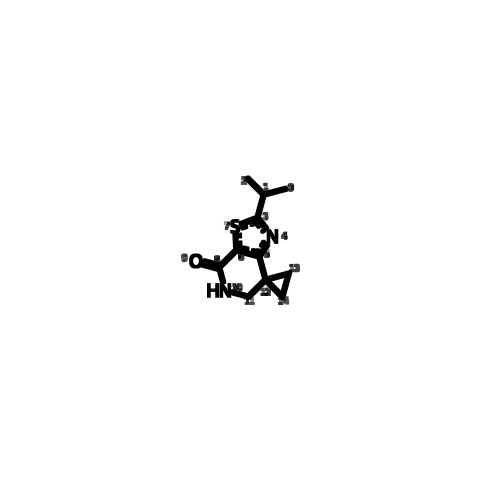 CC(C)c1nc2c(s1)C(=O)NCC21CC1